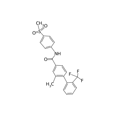 Cc1cc(C(=O)Nc2ccc(S(C)(=O)=O)cc2)ccc1-c1ccccc1C(F)(F)F